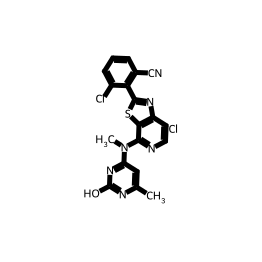 Cc1cc(N(C)c2nccc3nc(-c4c(Cl)cccc4C#N)sc23)nc(O)n1.Cl